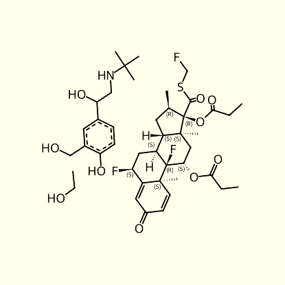 CC(C)(C)NCC(O)c1ccc(O)c(CO)c1.CCC(=O)O[C@H]1C[C@@]2(C)[C@@H](C[C@@H](C)[C@]2(OC(=O)CC)C(=O)SCF)[C@@H]2C[C@H](F)C3=CC(=O)C=C[C@]3(C)[C@@]12F.CCO